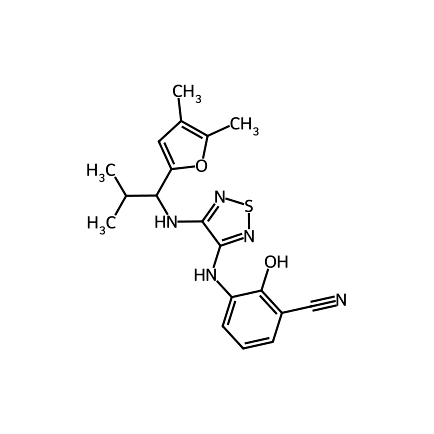 Cc1cc(C(Nc2nsnc2Nc2cccc(C#N)c2O)C(C)C)oc1C